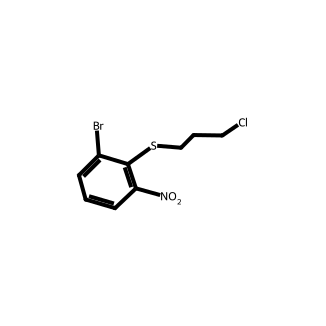 O=[N+]([O-])c1cccc(Br)c1SCCCCl